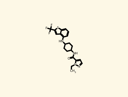 CCn1nccc1C(=O)NC1CCC(Nc2cccc3sc(C(F)(F)F)cc23)CC1